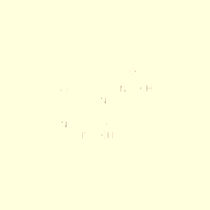 COc1c(N2CCN(C(C)=O)CC2)cc2c(Cl)ccnc2c1F